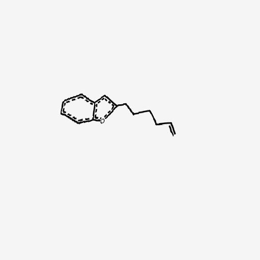 C=CCCCCc1cc2ccccc2o1